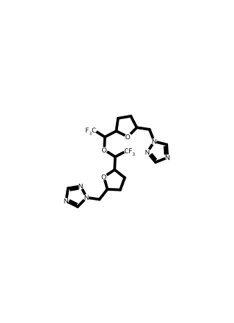 FC(F)(F)C(OC(C1CCC(Cn2cncn2)O1)C(F)(F)F)C1CCC(Cn2cncn2)O1